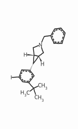 CC(C)(C)c1cc(I)cc([C@@H]2[C@@H]3CN(Cc4ccccc4)C[C@@H]32)c1